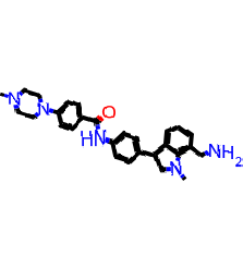 CN1CCN(c2ccc(C(=O)Nc3ccc(C4CN(C)c5c(CN)cccc54)cc3)cc2)CC1